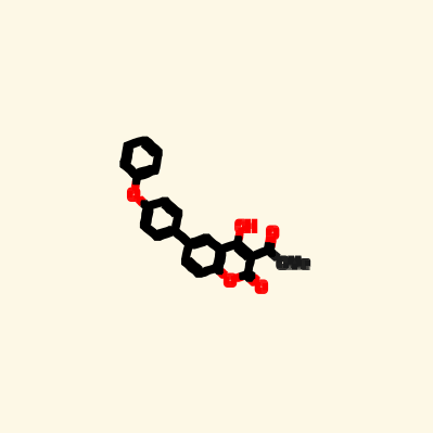 COC(=O)c1c(O)c2cc(-c3ccc(Oc4ccccc4)cc3)ccc2oc1=O